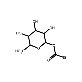 CCC(=O)OC1OC(C(=O)O)C(O)C(O)C1O